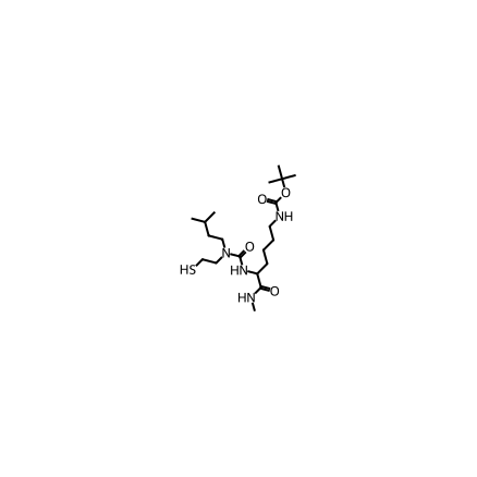 CNC(=O)C(CCCCNC(=O)OC(C)(C)C)NC(=O)N(CCS)CCC(C)C